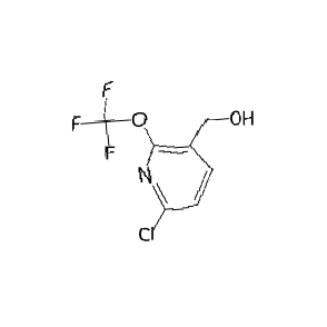 OCc1ccc(Cl)nc1OC(F)(F)F